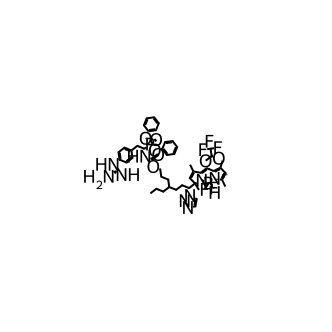 CCCC(CCCOC(=O)NC(Cc1ccc(NC(=N)N)cc1)P(=O)(Oc1ccccc1)Oc1ccccc1)CCC(n1ccnn1)C1(C)C=C(C)C2=C(OC(=O)C(F)(F)F)C3=C(C)C=C(C)[NH+]3[B-](F)(F)N21